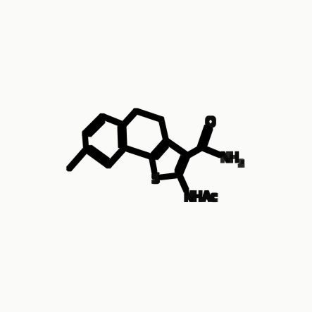 CC(=O)Nc1sc2c(c1C(N)=O)CCc1ccc(C)cc1-2